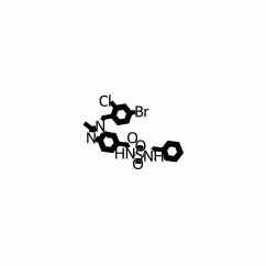 Cc1nc2ccc(C(=O)NS(=O)(=O)NCc3ccccc3)cc2n1Cc1ccc(Br)cc1Cl